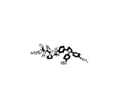 COC(=O)N[C@H](C(=O)N1CCC[C@H]1c1nc2cc(C3CCC(c4ccc(N)cc4)N3c3ccc(C(C)(C)C)cc3)ccc2[nH]1)C(C)C